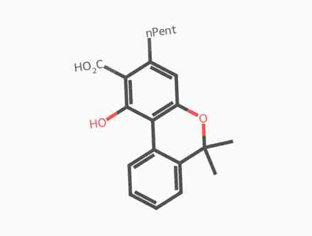 CCCCCc1cc2c(c(O)c1C(=O)O)-c1ccccc1C(C)(C)O2